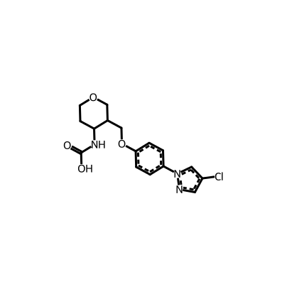 O=C(O)NC1CCOCC1COc1ccc(-n2cc(Cl)cn2)cc1